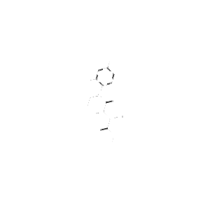 Cc1cc(F)ccc1N1CCO[C@H]([C@@H](O)C(=O)OC(C)(C)C)C1=O